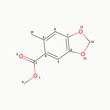 COC(=O)c1cc2c(cc1C)OCO2